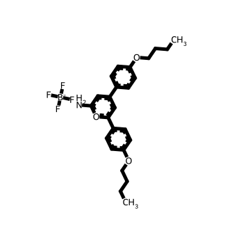 CCCCOc1ccc(-c2cc(N)[o+]c(-c3ccc(OCCCC)cc3)c2)cc1.F[B-](F)(F)F